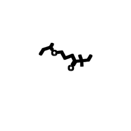 CCC(C)OCCCC(=O)C(C)(C)CC